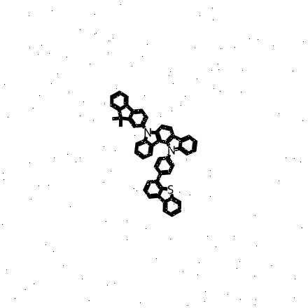 CC1(C)c2ccccc2-c2ccc(-n3c4ccccc4c4c3ccc3c5ccccc5n(-c5ccc(-c6cccc7c6sc6ccccc67)cc5)c34)cc21